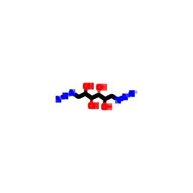 [N-]=[N+]=NC[C@@H](O)[C@@H](O)[C@H](O)[C@H](O)CN=[N+]=[N-]